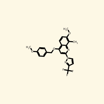 COc1ccc(COc2cc(-n3ccc(C(F)(F)F)n3)nc3c(C)c(OC)ccc23)cc1